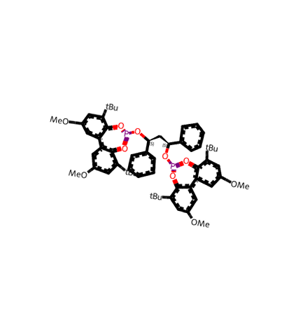 COc1cc(C(C)(C)C)c2op(O[C@@H](C[C@H](Op3oc4c(C(C)(C)C)cc(OC)cc4c4cc(OC)cc(C(C)(C)C)c4o3)c3ccccc3)c3ccccc3)oc3c(C(C)(C)C)cc(OC)cc3c2c1